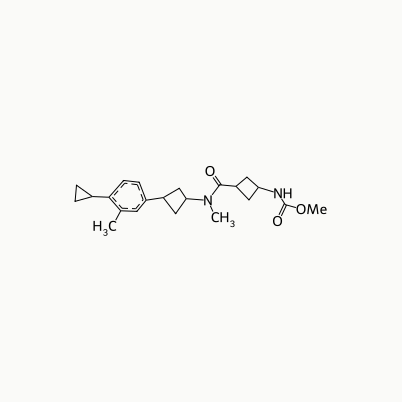 COC(=O)NC1CC(C(=O)N(C)C2CC(c3ccc(C4CC4)c(C)c3)C2)C1